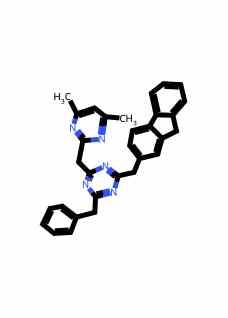 Cc1cc(C)nc(Cc2nc(Cc3ccccc3)nc(Cc3ccc4c(c3)Cc3ccccc3-4)n2)n1